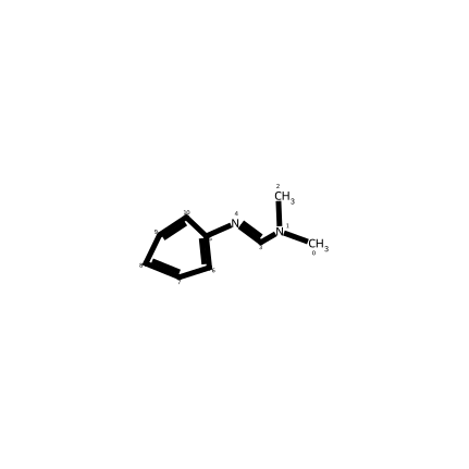 CN(C)C=Nc1ccccc1